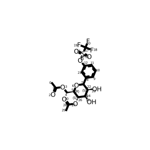 CC(=O)OC[C@H]1OC(c2cccc(OS(=O)(=O)C(F)(F)F)c2)[C@@H](O)[C@@H](O)[C@@H]1OC(C)=O